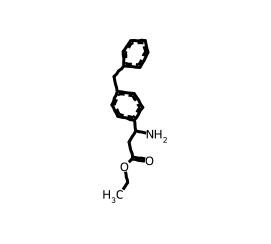 CCOC(=O)CC(N)c1ccc(Cc2ccccc2)cc1